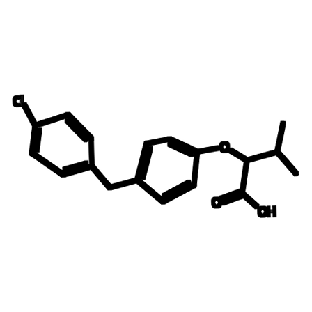 CC(C)C(Oc1ccc(Cc2ccc(Cl)cc2)cc1)C(=O)O